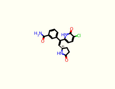 NC(=O)c1cccc(C(=C[C@H]2CCC(=O)N2)c2ccc(Cl)c(=O)[nH]2)c1